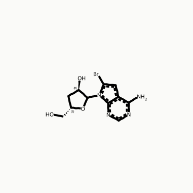 Nc1ncnc2c1cc(Br)n2C1O[C@H](CO)C[C@H]1O